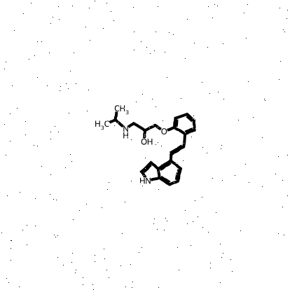 CC(C)NCC(O)COc1ccccc1C=Cc1cccc2[nH]ccc12